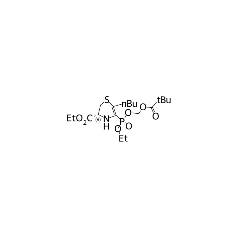 CCCCC1=C(P(=O)(OCC)OCOC(=O)C(C)(C)C)N[C@H](C(=O)OCC)CS1